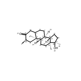 C[C@@H]1C[C@@]2(C)C(CC[C@@H]3[C@@H]2CC[C@@]2(C)[C@H]3CC[C@@]2(C)O)CC1=O